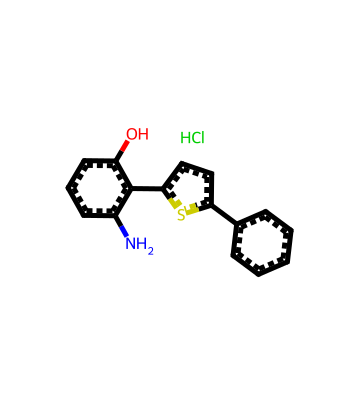 Cl.Nc1cccc(O)c1-c1ccc(-c2ccccc2)s1